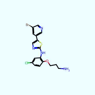 NCCCOc1ccc(Cl)cc1Nc1ncc(-c2cncc(Br)c2)s1